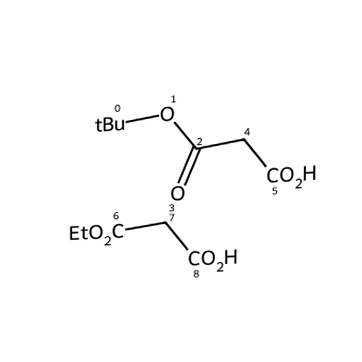 CC(C)(C)OC(=O)CC(=O)O.CCOC(=O)CC(=O)O